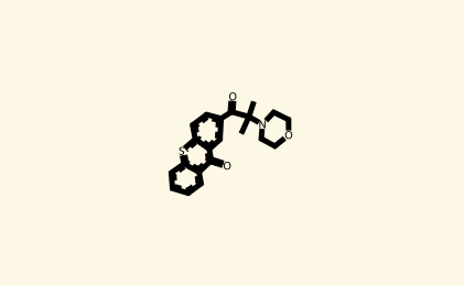 CC(C)(C(=O)c1ccc2sc3ccccc3c(=O)c2c1)N1CCOCC1